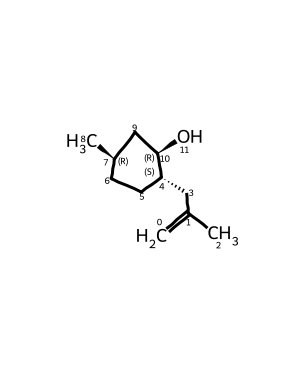 C=C(C)C[C@@H]1CC[C@@H](C)C[C@H]1O